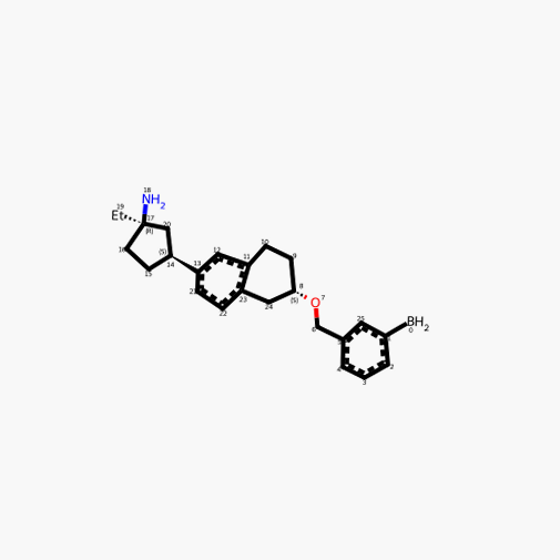 Bc1cccc(CO[C@H]2CCc3cc([C@H]4CC[C@](N)(CC)C4)ccc3C2)c1